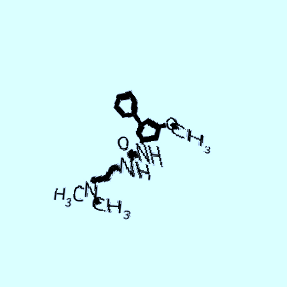 COc1cc(NC(=O)NCCCN(C)C)cc(-c2ccccc2)c1